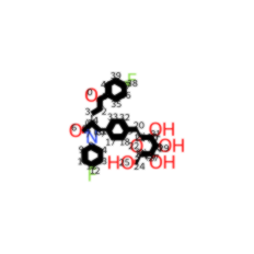 O=C(CC[C@H]1C(=O)N(c2ccc(F)cc2)[C@@H]1c1ccc(C[C@@H]2O[C@H](CO)[C@@H](O)[C@H](O)[C@@H]2O)cc1)c1ccc(F)cc1